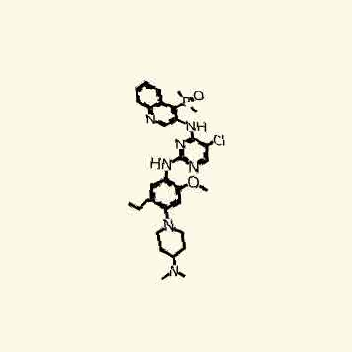 CCc1cc(Nc2ncc(Cl)c(Nc3cnc4ccccc4c3P(C)(C)=O)n2)c(OC)cc1N1CCC(N(C)C)CC1